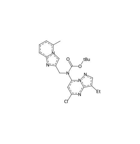 CCc1cnn2c(N(Cc3cn4c(C)cccc4n3)C(=O)OC(C)(C)C)cc(Cl)nc12